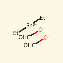 C[CH2][Sn+2][CH2]C.O=C[O-].O=C[O-]